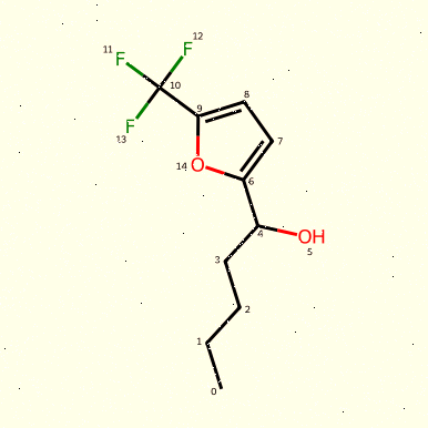 CCCCC(O)c1ccc(C(F)(F)F)o1